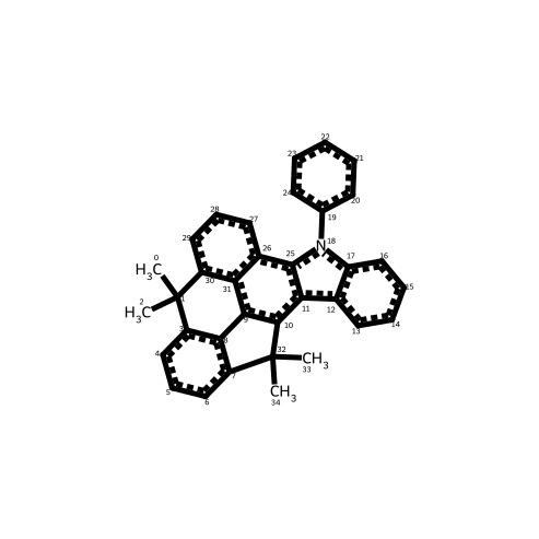 CC1(C)c2cccc3c2-c2c(c4c5ccccc5n(-c5ccccc5)c4c4cccc1c24)C3(C)C